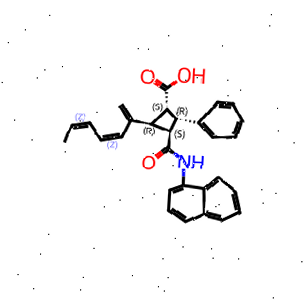 C=C(/C=C\C=C/C)[C@H]1[C@H](C(=O)O)[C@H](c2ccccc2)[C@H]1C(=O)Nc1cccc2ccccc12